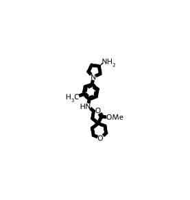 COC(=O)C1(CCNc2ccc(N3CC[C@H](N)C3)cc2C)CCOCC1